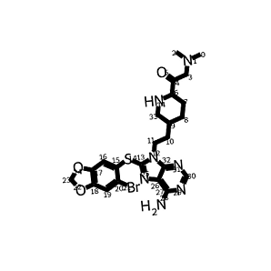 CN(C)CC(=O)C1CCC(CCn2c(Sc3cc4c(cc3Br)OCO4)nc3c(N)ncnc32)CN1